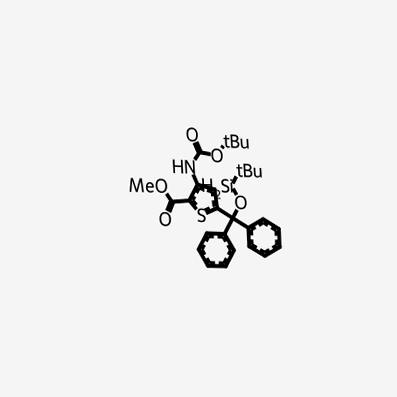 COC(=O)c1sc(C(O[SiH2]C(C)(C)C)(c2ccccc2)c2ccccc2)cc1NC(=O)OC(C)(C)C